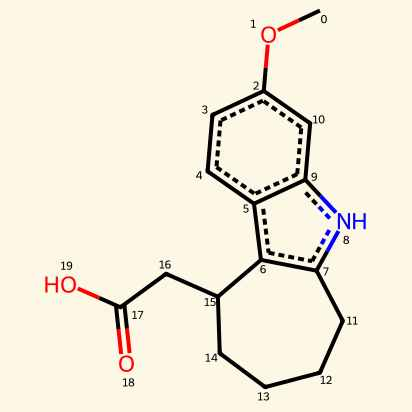 COc1ccc2c3c([nH]c2c1)CCCCC3CC(=O)O